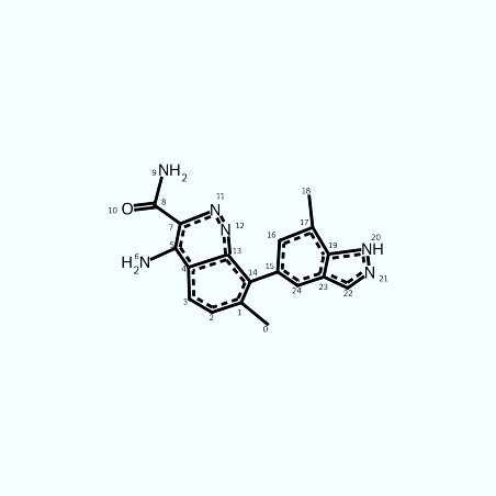 Cc1ccc2c(N)c(C(N)=O)nnc2c1-c1cc(C)c2[nH]ncc2c1